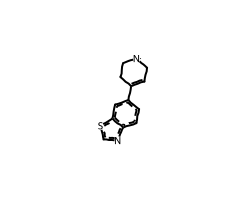 C1=C(c2ccc3ncsc3c2)CC[N]C1